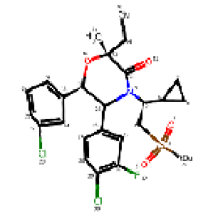 CC(C)(C)S(=O)(=O)C[C@H](C1CC1)N1C(=O)[C@@](C)(CC#N)O[C@H](c2cccc(Cl)c2)C1c1ccc(Cl)c(F)c1